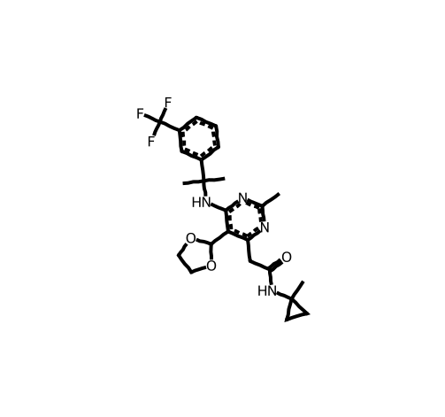 Cc1nc(CC(=O)NC2(C)CC2)c(C2OCCO2)c(NC(C)(C)c2cccc(C(F)(F)F)c2)n1